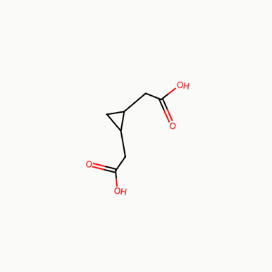 O=C(O)CC1CC1CC(=O)O